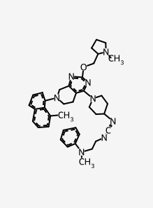 Cc1cccc2cccc(N3CCc4c(nc(OCC5CCCN5C)nc4N4CCC(N=C=NCCN(C)c5ccccc5)CC4)C3)c12